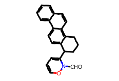 O=CN1OC=CC=C1C1CCCc2c1ccc1c2ccc2ccccc21